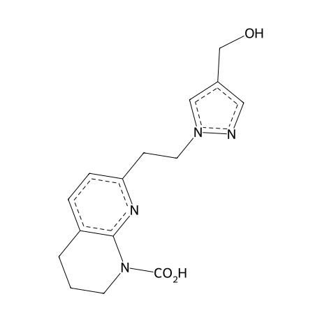 O=C(O)N1CCCc2ccc(CCn3cc(CO)cn3)nc21